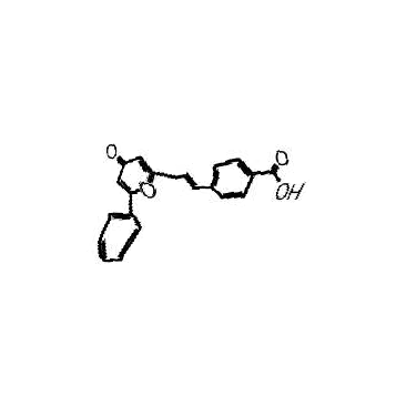 O=C(O)c1ccc(/C=C/c2cc(=O)cc(-c3ccccc3)o2)cc1